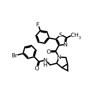 Cc1nc(C(=O)N2CC3CC3C2CNC(=O)c2cccc(Br)c2)c(-c2cccc(F)c2)s1